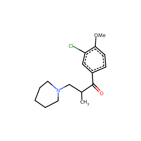 COc1ccc(C(=O)C(C)CN2CCCCC2)cc1Cl